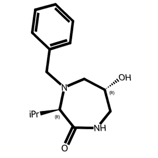 CC(C)[C@@H]1C(=O)NC[C@@H](O)CN1Cc1ccccc1